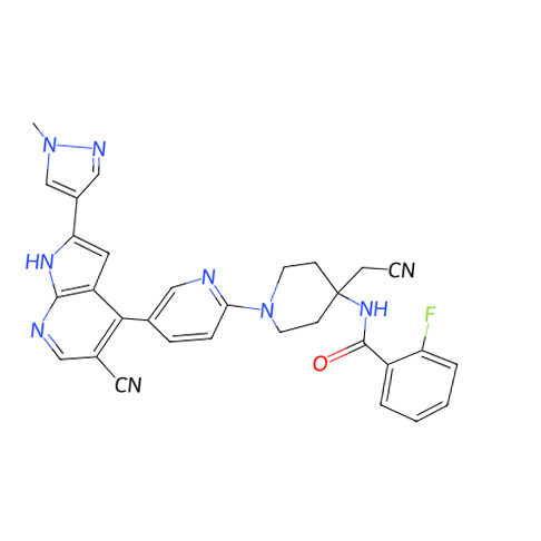 Cn1cc(-c2cc3c(-c4ccc(N5CCC(CC#N)(NC(=O)c6ccccc6F)CC5)nc4)c(C#N)cnc3[nH]2)cn1